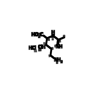 CC(=N)NC(CCCN)C(=O)O.Cl.Cl